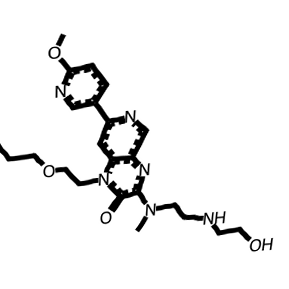 CCCOCCn1c(=O)c(N(C)CCNCCO)nc2cnc(-c3ccc(OC)nc3)cc21